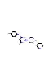 Cc1ccc(Nc2cc(C)nc(N3CCN(Sc4ccncc4)CC3)n2)cc1